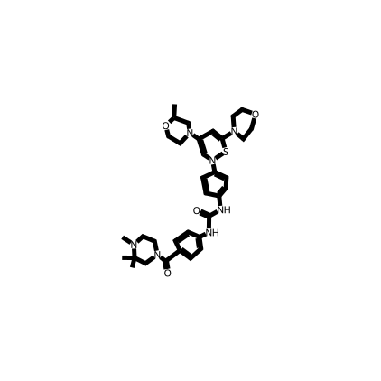 CC1CN(C2=CN(c3ccc(NC(=O)Nc4ccc(C(=O)N5CCN(C)C(C)(C)C5)cc4)cc3)SC(N3CCOCC3)=C2)CCO1